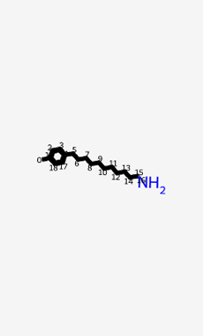 Cc1ccc(CCCCCCCCCCCN)cc1